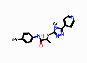 CC(=O)n1c(SC(C)C(=O)Nc2ccc(C(C)C)cc2)nnc1-c1ccncc1